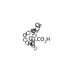 CC(C)(C)c1ccc(Oc2ccc3c(c2)C(C(=O)NC(CC(=O)O)c2ccc(Oc4ccc(F)c(Cl)c4)cc2)N(C(=O)CC2CCCC2)CC3)cc1